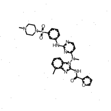 Cc1cccc2c1nc(NC(=O)c1ccco1)n2N(C)c1ccnc(Nc2cccc(S(=O)(=O)N3CCN(C)CC3)c2)n1